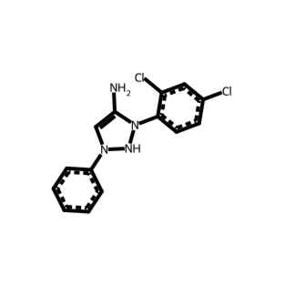 NC1=CN(c2ccccc2)NN1c1ccc(Cl)cc1Cl